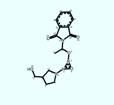 CC(On1on1N1CCC(CO)C1)N1C(=O)c2ccccc2C1=O